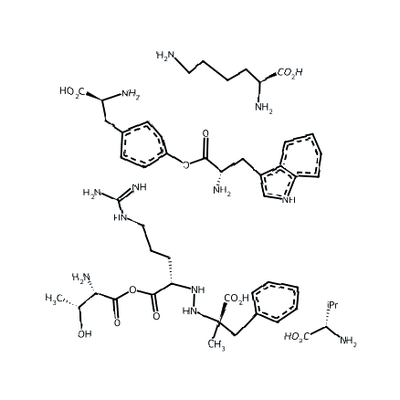 CC(C)[C@H](N)C(=O)O.C[C@@H](O)[C@H](N)C(=O)OC(=O)[C@H](CCCNC(=N)N)NN[C@@](C)(Cc1ccccc1)C(=O)O.NCCCC[C@H](N)C(=O)O.N[C@@H](Cc1ccc(OC(=O)[C@@H](N)Cc2c[nH]c3ccccc23)cc1)C(=O)O